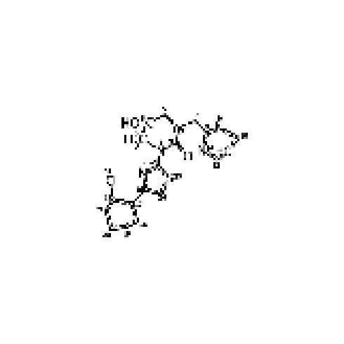 CN(C(=O)[C@@H](CC(=O)O)Cc1ncccn1)c1nc(-c2ccccc2Cl)cs1